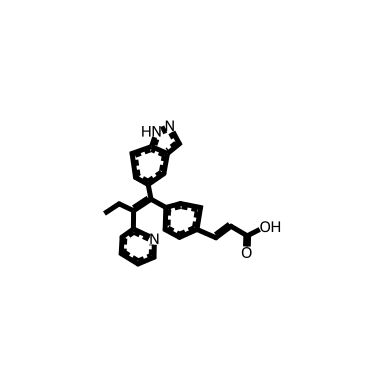 CC/C(=C(/c1ccc(/C=C/C(=O)O)cc1)c1ccc2[nH]ncc2c1)c1ccccn1